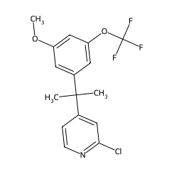 COc1cc(OC(F)(F)F)cc(C(C)(C)c2ccnc(Cl)c2)c1